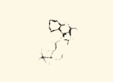 CCOCc1nc2c(C)nc3ccccc3c2n1CCNC(=O)C(C)(C)C